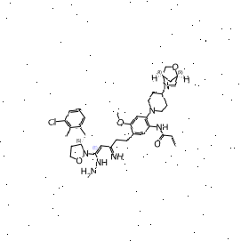 C=CC(=O)Nc1cc(CCC(=N)/C=C(\NN)N2OCC[C@@H]2Cc2cccc(Cl)c2C)c(OC)cc1N1CCC(N2C[C@H]3C[C@@H]2CO3)CC1